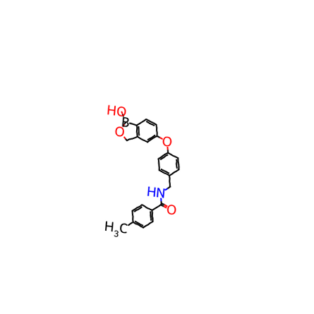 Cc1ccc(C(=O)NCc2ccc(Oc3ccc4c(c3)COB4O)cc2)cc1